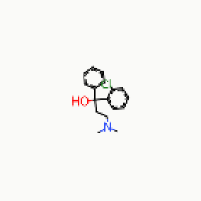 CN(C)CCC(O)(c1ccccc1)c1ccccc1Cl